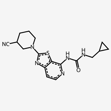 N#CC1CCCN(c2nc3ccnc(NC(=O)NCC4CC4)c3s2)C1